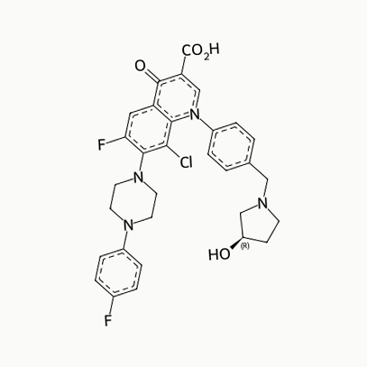 O=C(O)c1cn(-c2ccc(CN3CC[C@@H](O)C3)cc2)c2c(Cl)c(N3CCN(c4ccc(F)cc4)CC3)c(F)cc2c1=O